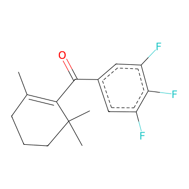 CC1=C(C(=O)c2cc(F)c(F)c(F)c2)C(C)(C)CCC1